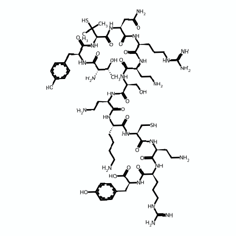 C[C@@H](O)[C@H](N)C(=O)N[C@@H](Cc1ccc(O)cc1)C(=O)N[C@H](C(=O)N[C@@H](CC(N)=O)C(=O)N[C@@H](CCCNC(=N)N)C(=O)N[C@@H](CCN)C(=O)N[C@@H](CO)C(=O)N[C@H](CCN)C(=O)N[C@@H](CCCCN)C(=O)N[C@@H](CS)C(=O)N[C@@H](CCN)C(=O)N[C@@H](CCCNC(=N)N)C(=O)N[C@@H](Cc1ccc(O)cc1)C(=O)O)C(C)(C)S